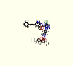 Cc1cc(C#Cc2ccccc2)cnc1NC(=O)c1c(Cl)cnn1C1CC2(C1)CN(C(=O)OC(C)(C)C)C2